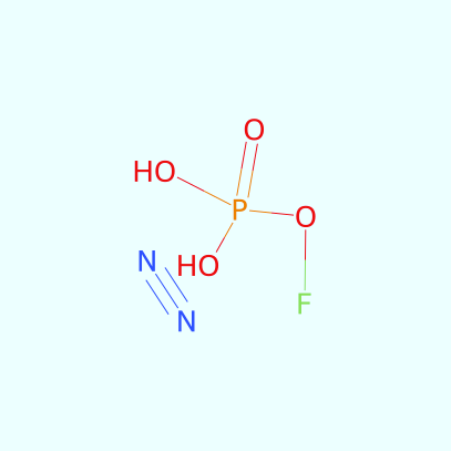 N#N.O=P(O)(O)OF